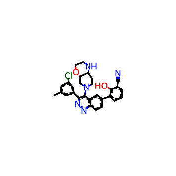 Cc1cc(Cl)cc(-c2nnc3ccc(-c4cccc(C#N)c4O)cc3c2N2CCC3NCCOC3C2)c1